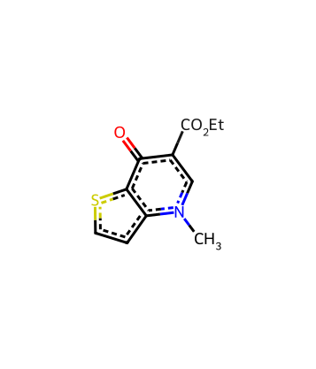 CCOC(=O)c1cn(C)c2ccsc2c1=O